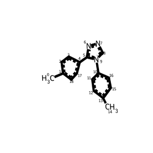 Cc1ccc(-c2nn[c]n2-c2ccc(C)cc2)cc1